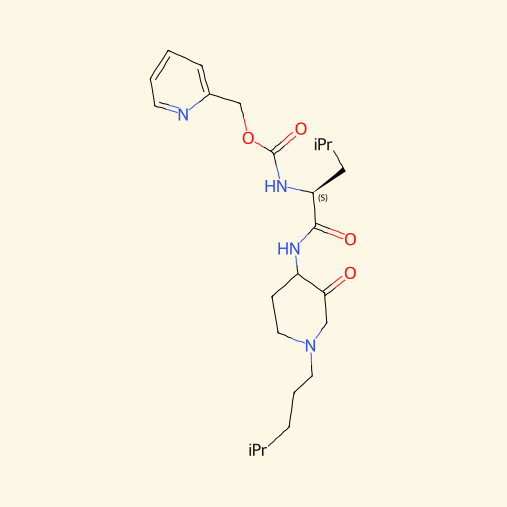 CC(C)CCCN1CCC(NC(=O)[C@H](CC(C)C)NC(=O)OCc2ccccn2)C(=O)C1